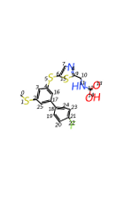 CSc1cc(Sc2cnc(CNC(=O)O)s2)cc(-c2ccc(F)cc2)c1